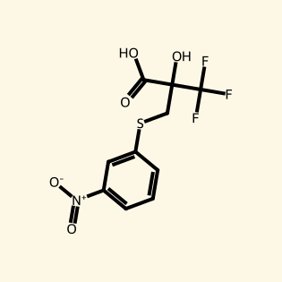 O=C(O)C(O)(CSc1cccc([N+](=O)[O-])c1)C(F)(F)F